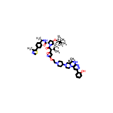 Cc1ncsc1-c1ccc([C@H](C)NC(=O)[C@@H]2C[C@@H](O[Si](C)(C)C(C)(C)C)CN2C(=O)[C@@H](c2cc(OCCN3CCC(N4CCN5c6cc(-c7ccccc7O)nnc6N[C@@H](C)[C@@H]5C4)CC3)no2)C(C)C)cc1